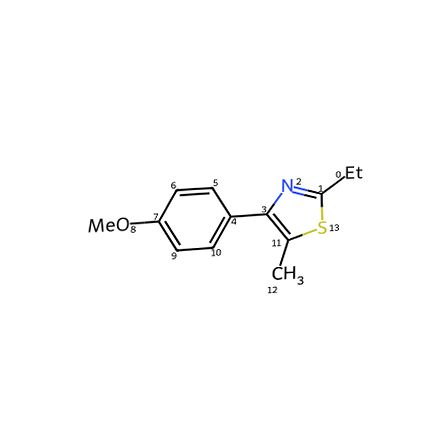 CCc1nc(-c2ccc(OC)cc2)c(C)s1